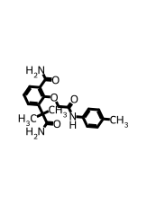 Cc1ccc(NC(=O)COc2c(C(N)=O)cccc2C(C)(C)C(N)=O)cc1